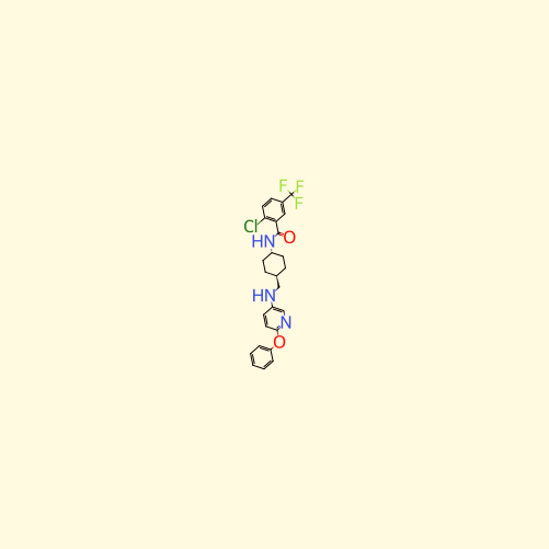 O=C(N[C@H]1CC[C@H](CNc2ccc(Oc3ccccc3)nc2)CC1)c1cc(C(F)(F)F)ccc1Cl